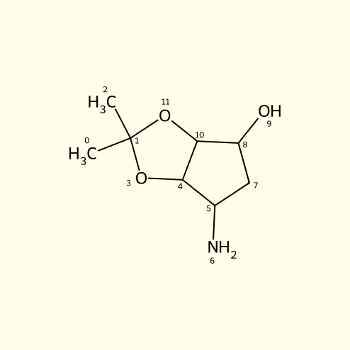 CC1(C)OC2C(N)CC(O)C2O1